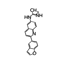 CC(=N)Nc1ccc2nc(-c3ccc4occc4c3)ccc2c1